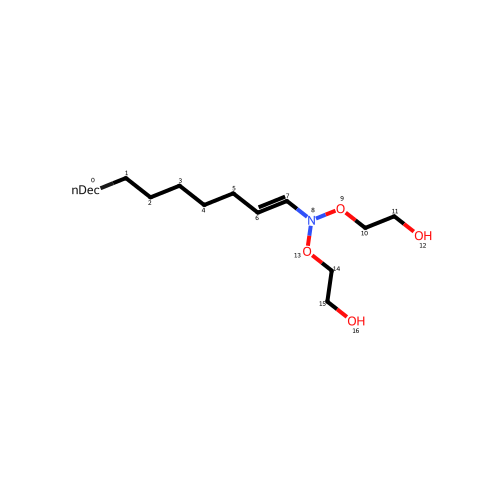 CCCCCCCCCCCCCCCC=CN(OCCO)OCCO